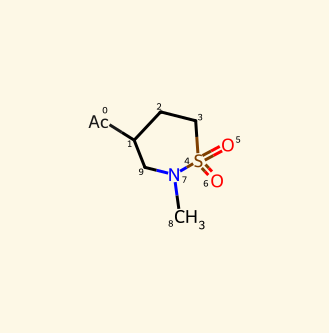 CC(=O)C1CCS(=O)(=O)N(C)C1